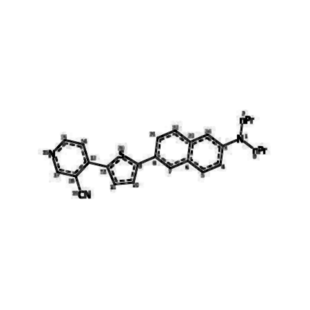 CCCN(CCC)c1ccc2cc(-c3ccc(-c4ccncc4C#N)s3)ccc2c1